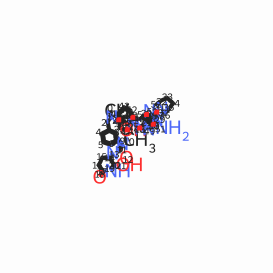 CN(Cc1ccc2c(c1)n(C)c(=O)n2C1CCC(=O)NC1O)C1CCN(Cc2cnc(N3C4CCC3CN(c3cc(-c5ccccc5O)nnc3N)C4)nc2)CC1